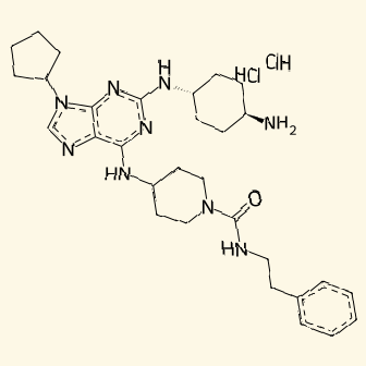 Cl.Cl.N[C@H]1CC[C@H](Nc2nc(NC3CCN(C(=O)NCCc4ccccc4)CC3)c3ncn(C4CCCC4)c3n2)CC1